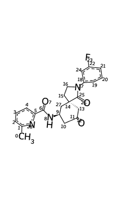 Cc1cccc(C(=O)N[C@@H]2CC(=O)C[C@@]3(CCN(c4cccc(F)c4)C3=O)C2)n1